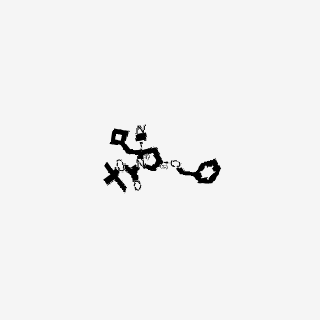 CC(C)(C)OC(=O)N1C[C@@H](OCc2ccccc2)C[C@]1(C#N)CC1CCC1